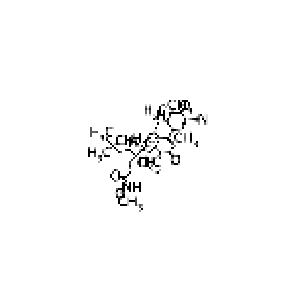 CCC(C)(C)CC[C@](C)(CCC(=O)NOC)CC[C@]1(C)C(C)C(=O)C=C2[C@@]3(C)C=C(C#N)C(=O)C(C)(C)[C@@H]3CC[C@]21C